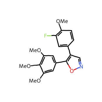 COc1ccc(-c2cnoc2-c2cc(OC)c(OC)c(OC)c2)cc1F